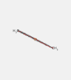 CCCCCCCCCCCCCCCCCCCCCCCCCCCC[P][P]CCCCCCCCCCCCCCCCCCCCCCCCCCCC